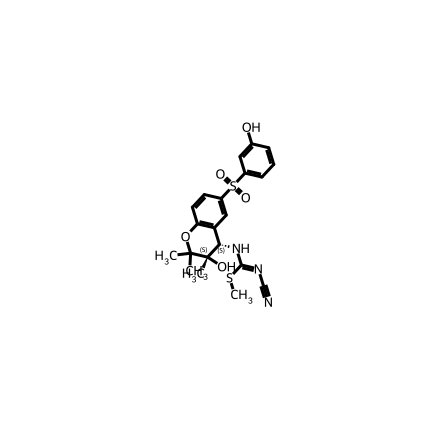 CSC(=NC#N)N[C@H]1c2cc(S(=O)(=O)c3cccc(O)c3)ccc2OC(C)(C)[C@@]1(C)O